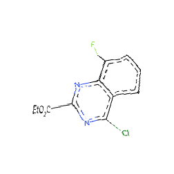 CCOC(=O)c1nc(Cl)c2cccc(F)c2n1